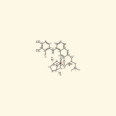 CN(C)CCOc1cc2ncnc(Nc3ccc(Cl)c(Cl)c3F)c2cc1O[C@@H]1C[C@H]2CC[C@@H](C1)N2C(=O)OC(C)(C)C